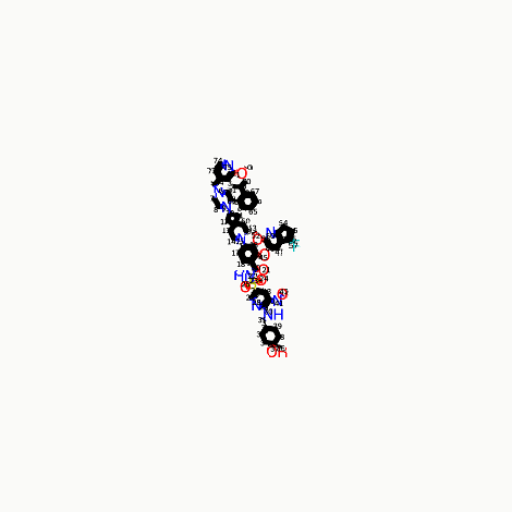 COc1cc(CN2CCN(C3CC4(CCN(c5ccc(C(=O)NS(=O)(=O)c6cnc(NC[C@H]7CC[C@@](C)(O)CC7)c(N=O)c6)c(Oc6cc7c(nc6OC)CC=C7F)c5)CC4)C3)[C@H](c3ccccc3C(C)C)C2)ccn1